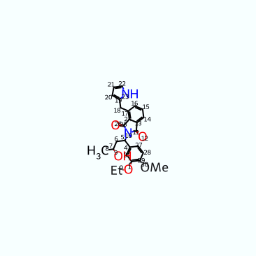 CCOc1cc(C(CC(C)O)N2C(=O)c3cccc(Cc4ccc[nH]4)c3C2=O)ccc1OC